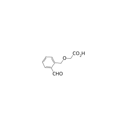 O=Cc1ccccc1COCC(=O)O